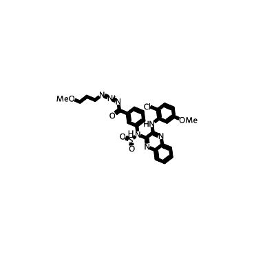 COCCCN=[N+]=NC(=O)c1cccc(N(c2nc3ccccc3nc2Nc2cc(OC)ccc2Cl)[SH](=O)=O)c1